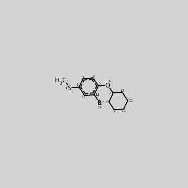 CSc1ccc(OC2CCCCC2)c(Br)c1